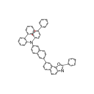 c1ccc(-c2ccc(N(c3ccc4cc(-c5ccc6ccc7nc(-c8ccccc8)oc7c6c5)ccc4c3)c3ccccc3-c3ccccc3)cc2)cc1